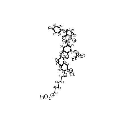 CCN(CC)CC.CCOc1cc2c(Oc3ccc(NC(=O)C4(C(=O)Nc5ccc(F)cc5)CC4)cc3F)ccnc2cc1OCCCCCCC(=O)O